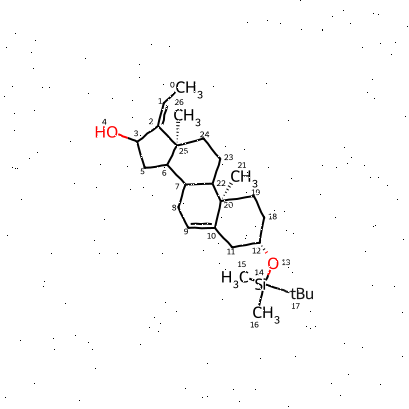 C/C=C1/C(O)CC2C3CC=C4C[C@@H](O[Si](C)(C)C(C)(C)C)CC[C@]4(C)C3CC[C@]12C